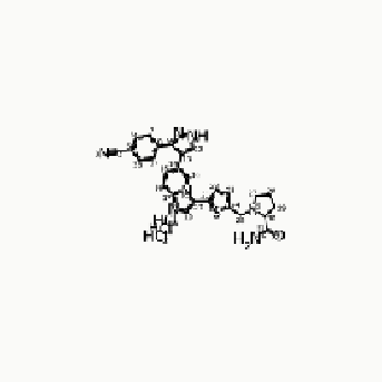 Cl.Cl.Cl.N#Cc1ccc(-c2n[nH]cc2-c2ccc3ncc(-c4ccc(CN5CCC[C@H]5C(N)=O)s4)n3c2)cc1